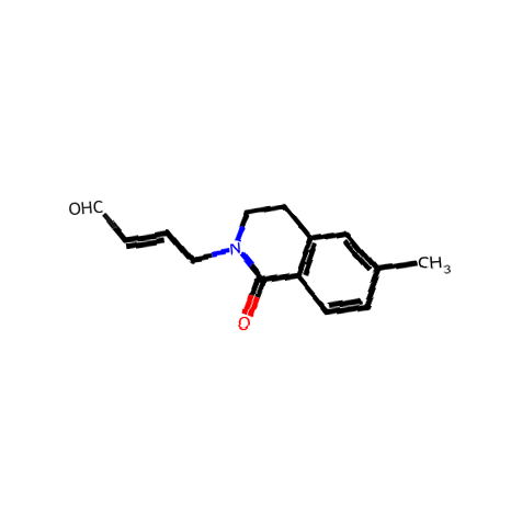 Cc1ccc2c(c1)CCN(C/C=C/C=O)C2=O